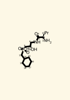 CC(C)[C@@H](N)C(=O)NC[C@@H](O)CP(=O)(O)CC1CCCCC1